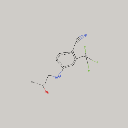 C[C@@H](O)CNc1ccc(C#N)c(C(F)(F)F)c1